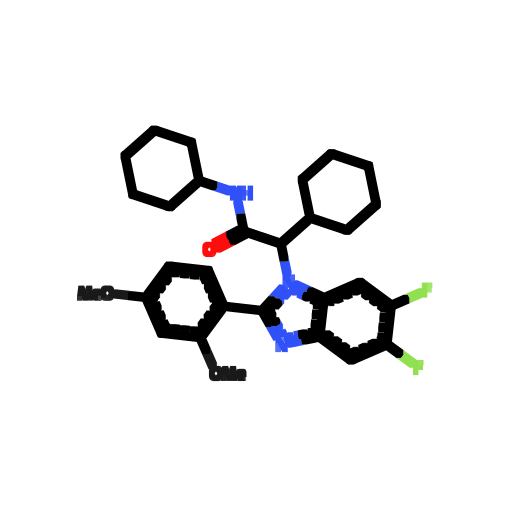 COc1ccc(-c2nc3cc(F)c(F)cc3n2C(C(=O)NC2CCCCC2)C2CCCCC2)c(OC)c1